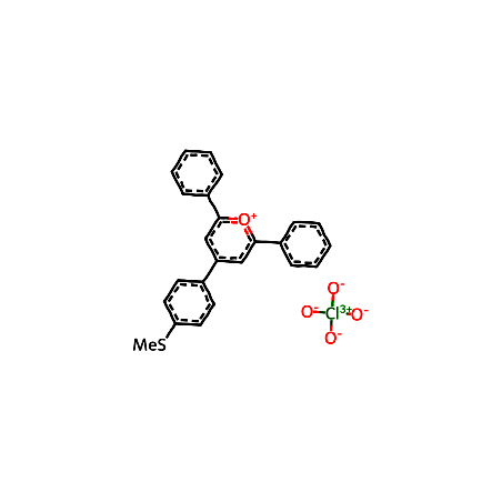 CSc1ccc(-c2cc(-c3ccccc3)[o+]c(-c3ccccc3)c2)cc1.[O-][Cl+3]([O-])([O-])[O-]